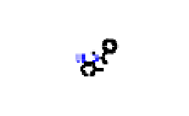 C=C(c1ccccc1)N(C)C1=C(N)CCC=C1C